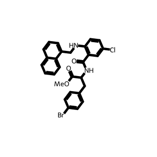 COC(=O)C(Cc1ccc(Br)cc1)NC(=O)c1cc(Cl)ccc1NCc1cccc2ccccc12